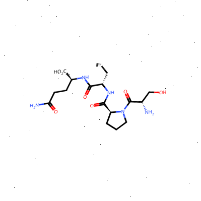 CC(C)C[C@H](NC(=O)[C@@H]1CCCN1C(=O)[C@@H](N)CO)C(=O)N[C@@H](CCC(N)=O)C(=O)O